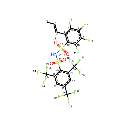 C/C=C/c1c(F)c(F)c(F)c(F)c1S(=O)(=O)NS(=O)(=O)c1c(C(F)(F)F)cc(C(F)(F)F)cc1C(F)(F)F